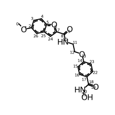 COc1ccc2oc(C(=O)NCCOc3ccc(C(=O)NO)cc3)cc2c1